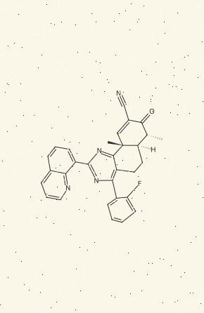 C[C@H]1C(=O)C(C#N)=C[C@@]2(C)c3nc(-c4cccc5cccnc45)nc(-c4ccccc4F)c3CC[C@H]12